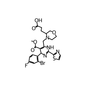 COC(=O)C1=C(CN2CCOCC2CCC(=O)O)NC(c2nccs2)=NC1c1ccc(F)cc1Br